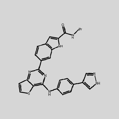 CC(C)NC(=O)c1cc2ccc(-c3nc(Nc4ccc(-c5cn[nH]c5)cc4)c4sccc4n3)cc2[nH]1